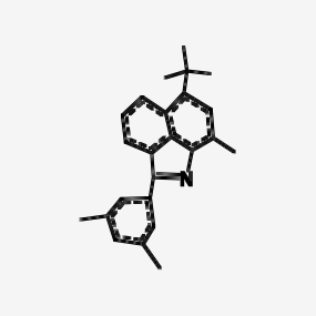 Cc1cc(C)cc(C2=Nc3c(C)cc(C(C)(C)C)c4cccc2c34)c1